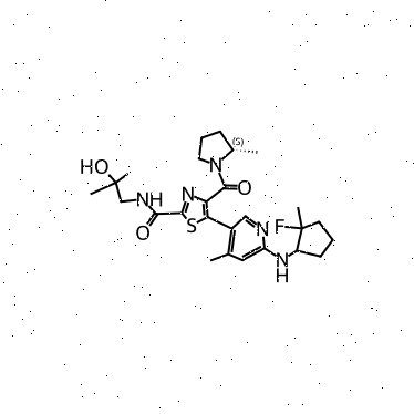 Cc1cc(NC2CCCC2(C)F)ncc1-c1sc(C(=O)NCC(C)(C)O)nc1C(=O)N1CCC[C@@H]1C